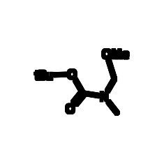 COCN(C)C(=O)OC(C)(C)C